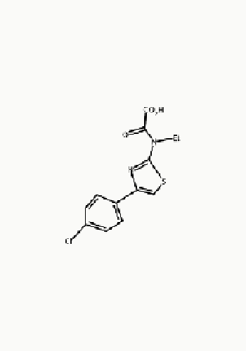 CCN(C(=O)C(=O)O)c1nc(-c2ccc(Cl)cc2)cs1